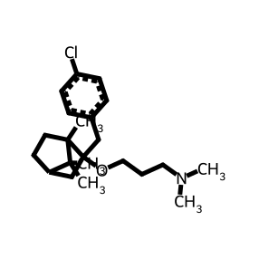 CN(C)CCCOC1(Cc2ccc(Cl)cc2)CC2CCC1(C)C2(C)C